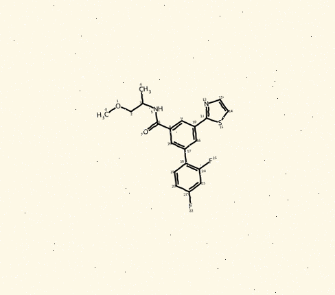 COCC(C)NC(=O)c1cc(-c2nccs2)cc(-c2ccc(F)cc2F)c1